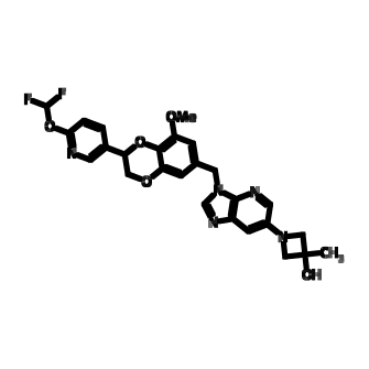 COc1cc(Cn2cnc3cc(N4CC(C)(O)C4)cnc32)cc2c1OC(c1ccc(OC(F)F)nc1)CO2